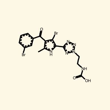 Cc1[nH]c(-c2nnn(CCNC(=O)O)n2)c(Br)c1C(=O)c1cccc(Br)c1